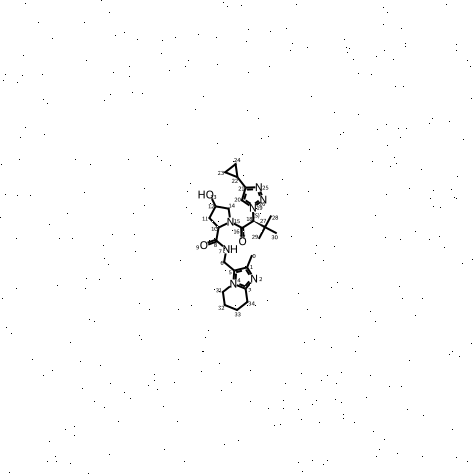 Cc1nc2n(c1CNC(=O)C1CC(O)CN1C(=O)[C@@H](n1cc(C3CC3)nn1)C(C)(C)C)CCCC2